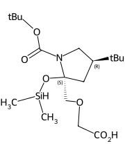 C[SiH](C)O[C@]1(COCC(=O)O)C[C@H](C(C)(C)C)CN1C(=O)OC(C)(C)C